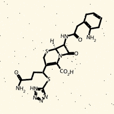 NC(=O)CCC(Sc1nnn[nH]1)C1=C(C(=O)O)N2C(=O)C(NC(=O)CC3=C(N)CC=CC3)[C@@H]2SC1